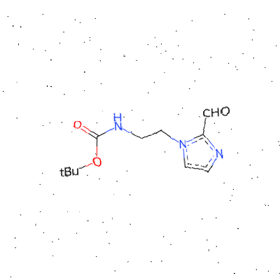 CC(C)(C)OC(=O)NCCn1ccnc1C=O